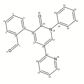 O=Cc1ccccc1-c1cc(-c2ccccn2)cn(-c2ccccc2)c1=O